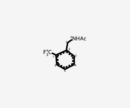 CC(=O)NCc1ccccc1C(F)(F)F